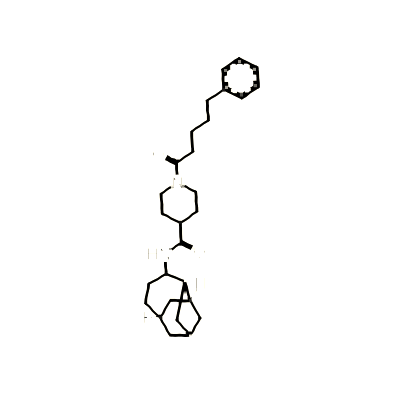 O=C(NC1CC[C@@H]2CC3CC1[C@@H](C3)C2)C1CCN(C(=O)CCCCc2ccccc2)CC1